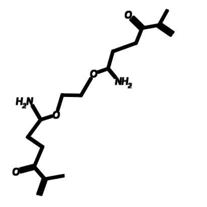 C=C(C)C(=O)CCC(N)OCCOC(N)CCC(=O)C(=C)C